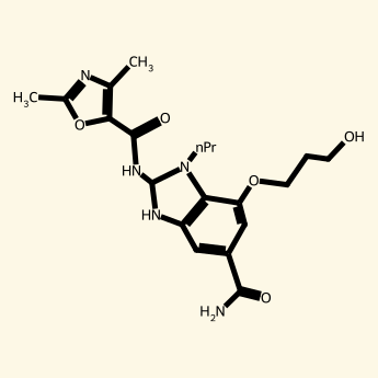 CCCN1c2c(cc(C(N)=O)cc2OCCCO)NC1NC(=O)c1oc(C)nc1C